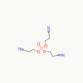 N#CCCOP(=O)(OCCC#N)OCCC#N